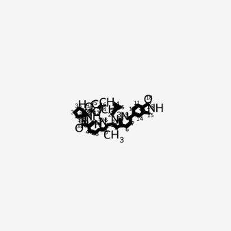 Cc1c(-c2cc3ccc(-c4ccc5c(c4)CNC5=O)nc3n2CC2CC2)nn2cc(C(=O)N3CC4CCC3[C@@H]4NC(=O)OC(C)(C)C)ccc12